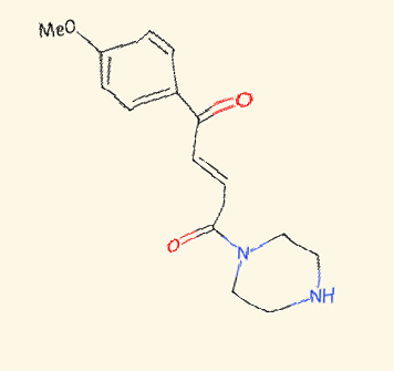 COc1ccc(C(=O)C=CC(=O)N2CCNCC2)cc1